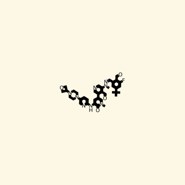 CN(/N=C\c1cc(C(C)(C)C)cc(F)c1C=O)c1cncc(-c2cc(Nc3ccc(N4CCN(C5COC5)CC4)cn3)c(=O)n(C)c2)c1C=O